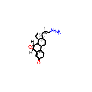 C[C@H](CN=[N+]=[N-])[C@H]1CCC2C3C(CC[C@@]21C)[C@@]1(C)CCC(=O)C=C1[C@@H]1O[C@H]31